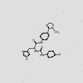 CN1CCN=C1c1ccc(NC(=O)C(Cc2c[nH]cn2)NC(=O)Nc2ccc(Cl)cc2)cc1